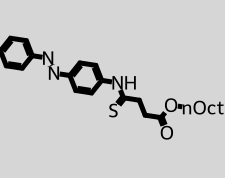 CCCCCCCCOC(=O)CCC(=S)Nc1ccc(N=Nc2ccccc2)cc1